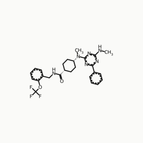 CNc1nc(-c2ccccc2)nc(N(C)[C@H]2CC[C@@H](C(=O)NCc3ccccc3OC(F)(F)F)CC2)n1